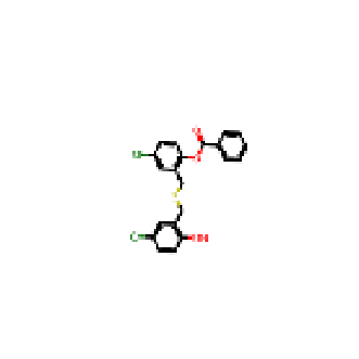 O=C(Oc1ccc(Cl)cc1CSCc1cc(Cl)ccc1O)c1ccccc1